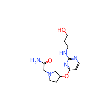 NC(=O)CN1CCC(Oc2ccnc(NCCCO)n2)C1